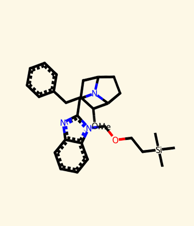 COC1C(Cc2ccccc2)CC2CCC1N2Cc1nc2ccccc2n1COCC[Si](C)(C)C